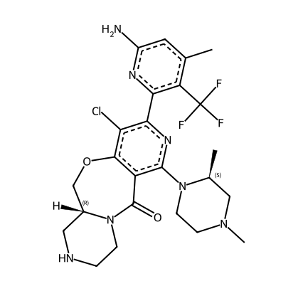 Cc1cc(N)nc(-c2nc(N3CCN(C)C[C@@H]3C)c3c(c2Cl)OC[C@H]2CNCCN2C3=O)c1C(F)(F)F